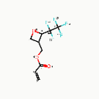 C=CC(=O)OCC1COC1C(F)(F)C(F)(F)F